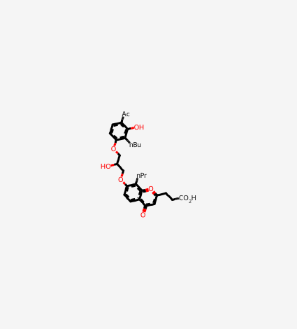 CCCCc1c(OCC(O)COc2ccc3c(=O)cc(CCC(=O)O)oc3c2CCC)ccc(C(C)=O)c1O